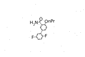 CCCOc1ccc(-c2cc(F)ccc2F)cc1C(N)=O